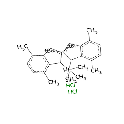 Cc1ccc(C)c2c1C=C(C(C)(C)C)[CH]2[Hf]([CH3])([CH3])(=[SiH2])[CH]1C(C(C)(C)C)=Cc2c(C)ccc(C)c21.Cl.Cl